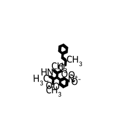 COC(=O)C1=C(C)NC(C)=C(C(=O)OCC(C)=Cc2ccccc2)C1c1cccc([N+](=O)[O-])c1